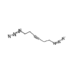 [N-]=[N+]=NCCC#CCCN=[N+]=[N-]